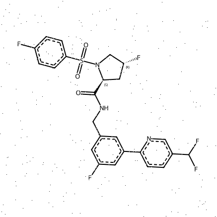 O=C(NCc1cc(F)cc(-c2ccc(C(F)F)cn2)c1)[C@@H]1C[C@@H](F)CN1S(=O)(=O)c1ccc(F)cc1